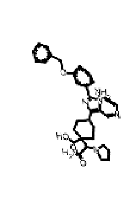 NC(=O)C(N1CCCC1)C1(C(=O)O)CCC(C2=C3C=NC=C[N+]3(N)C(c3cccc(OCc4ccccc4)c3)=N2)CC1